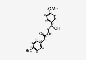 COc1ccc(C(O)COC(=O)Cc2ccc(Br)cc2)cc1